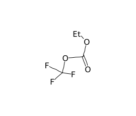 CCOC(=O)OC(F)(F)F